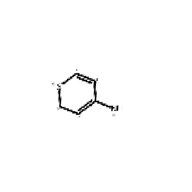 [NH]C1=CCSC=C1